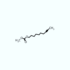 CC#CCCCCCCCOC(=O)OC